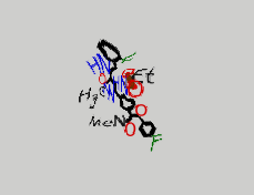 CCS(=O)(=O)Nc1cc2oc(-c3ccc(F)cc3)c(C(=O)NC)c2cc1-c1cc(-c2cc3c(F)cccc3[nH]2)c(=O)n(C)n1